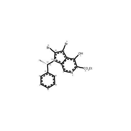 CCOC(=O)c1ncc2c(c1O)c(Br)c(Br)n2[C@@H](C)c1ccccc1